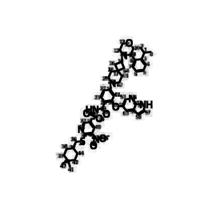 CC(C)c1ccccc1[C@@H]1COCCN1C1CC2(CCN(c3ccc(C(=O)NS(=O)(=O)c4cnc(SCC5CCC(C)(C)CC5)c([N+](=O)[O-])c4)c(Oc4cnc5[nH]ccc5c4)c3)CC2)C1